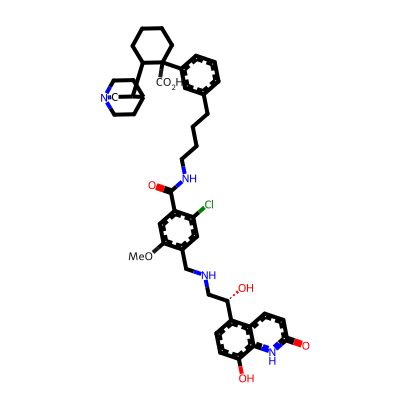 COc1cc(C(=O)NCCCCc2cccc(C3(C(=O)O)CCCCC3C3CN4CCC3CC4)c2)c(Cl)cc1CNC[C@H](O)c1ccc(O)c2[nH]c(=O)ccc12